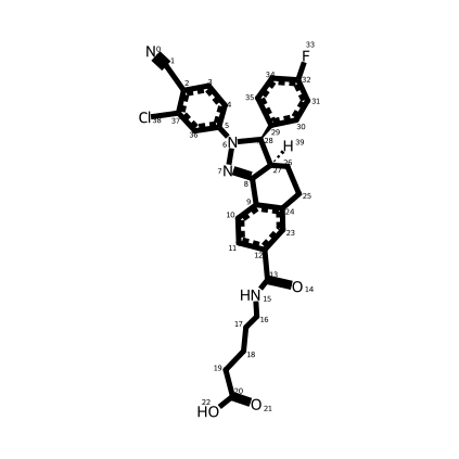 N#Cc1ccc(N2N=C3c4ccc(C(=O)NCCCCC(=O)O)cc4CC[C@@H]3[C@@H]2c2ccc(F)cc2)cc1Cl